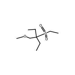 CCC(CC)(COC)S(=O)(=O)CC